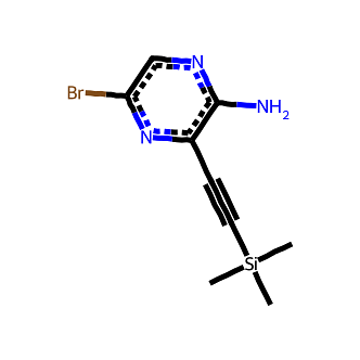 C[Si](C)(C)C#Cc1nc(Br)cnc1N